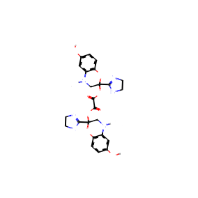 COc1ccc2c(c1)N(C)CC(OC(=O)C(=O)OC1(C3=NCCN3)CN(C)c3cc(OC)ccc3O1)(C1=NCCN1)O2